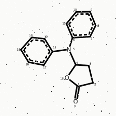 O=C1CCC(N(c2ccccc2)c2ccccc2)O1